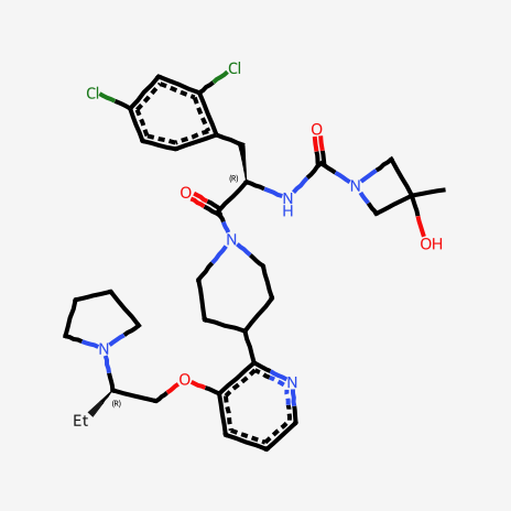 CC[C@H](COc1cccnc1C1CCN(C(=O)[C@@H](Cc2ccc(Cl)cc2Cl)NC(=O)N2CC(C)(O)C2)CC1)N1CCCC1